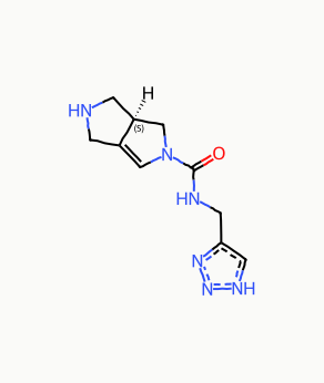 O=C(NCc1c[nH]nn1)N1C=C2CNC[C@H]2C1